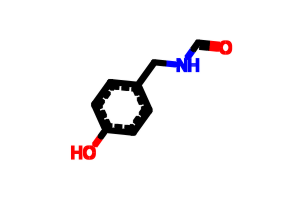 O=CNCc1ccc(O)cc1